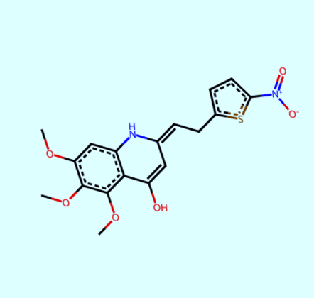 COc1cc2c(c(OC)c1OC)C(O)=C/C(=C\Cc1ccc([N+](=O)[O-])s1)N2